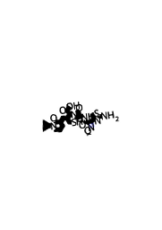 CO/N=C(\C(=O)N[C@@H]1C(=O)N2C(C(=O)O)=C(C=C3CCCN(C4CC4)C3=O)CS[C@H]12)c1csc(N)n1